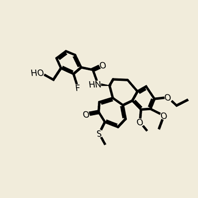 CCOc1cc2c(c(OC)c1OC)-c1ccc(SC)c(=O)cc1[C@@H](NC(=O)c1cccc(CO)c1F)CC2